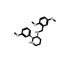 COc1cccc([C@@H]2NCCC[C@@H]2NCc2cc(OC)ccc2OC)c1